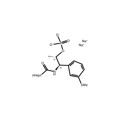 CCCCCCCC(=O)N[C@H](c1cccc(SC)c1)[C@H](C)OP(=O)([O-])[O-].[Na+].[Na+]